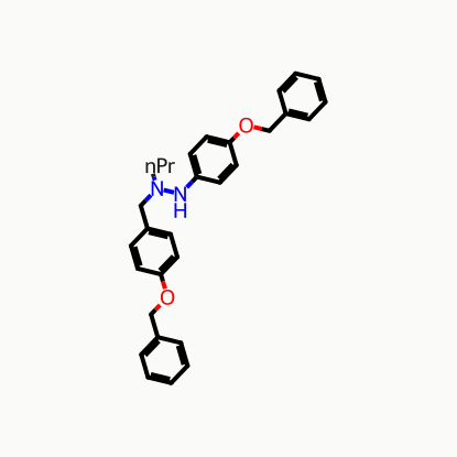 CCCN(Cc1ccc(OCc2ccccc2)cc1)Nc1ccc(OCc2ccccc2)cc1